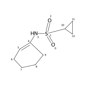 O=S(=O)(NC1=CCCCC1)C1CC1